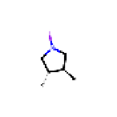 C[C@@H]1CN(I)C[C@H]1C